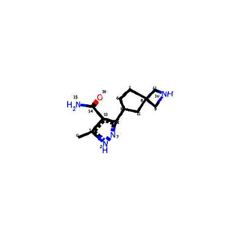 Cc1[nH]nc(C2CCC3(CNC3)C2)c1C(N)=O